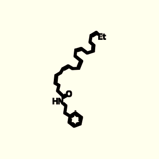 CC/C=C\C/C=C\C/C=C\C/C=C\C/C=C\C/C=C\CCC(=O)NCCc1[c]cccc1